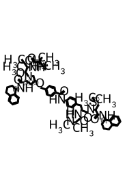 CNC(C)C(=O)NC(Cc1ccc(NC(=O)c2ccc(CO[C@H]3C[C@@H](C(=O)N[C@@H]4CCCc5ccccc54)N(C(=O)C(NC(=O)C(C)NC)C(C)(C)C)C3)cc2)cc1)C(=O)N1C[Si](C)(C)CC1C(=O)N[C@@H]1CCCc2ccccc21